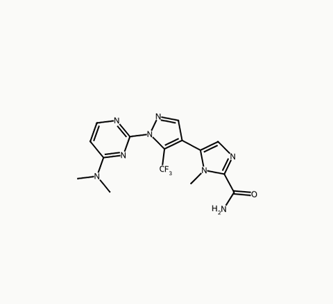 CN(C)c1ccnc(-n2ncc(-c3cnc(C(N)=O)n3C)c2C(F)(F)F)n1